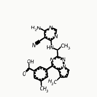 Cc1cc(C(=O)O)cc(-c2nc(C(C)Nc3ncnc(N)c3C#N)nn3ccc(C)c23)c1